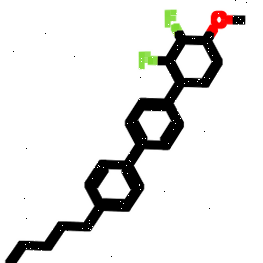 CCCCCc1ccc(-c2ccc(C3CCC(OC)C(F)C3F)cc2)cc1